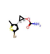 Cc1sc(Br)cc1[C@@H]1C[C@H]1OC(N)=O